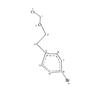 ClCOCCc1ccc(Br)cc1